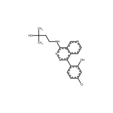 CC(C)(O)CCNc1nnc(-c2ccc(Cl)cc2O)c2ccncc12